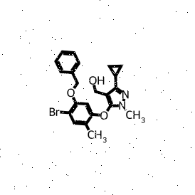 Cc1cc(Br)c(OCc2ccccc2)cc1Oc1c(CO)c(C2CC2)nn1C